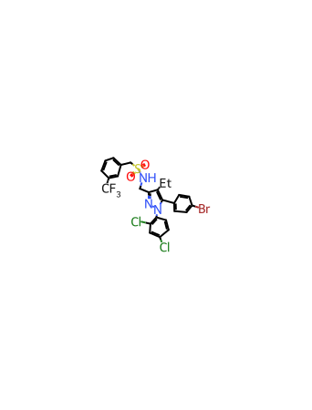 CCc1c(CNS(=O)(=O)Cc2cccc(C(F)(F)F)c2)nn(-c2ccc(Cl)cc2Cl)c1-c1ccc(Br)cc1